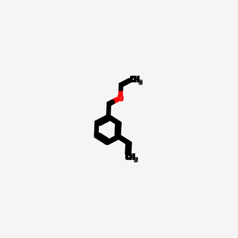 C=Cc1cccc(COCC)c1